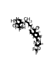 CC(CCCn1ccc2cc(-c3ncc(OC(F)F)cn3)c(F)cc2c1=O)Nc1cn[nH]c(=O)c1C(F)(F)F